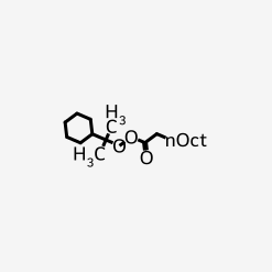 CCCCCCCCCC(=O)OOC(C)(C)C1CCCCC1